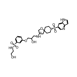 O=S(=O)(NCCO)c1cccc(OCC(O)CN[C@H]2COC3(CCN(S(=O)(=O)c4cnc5cc[nH]c5c4)CC3)C2)c1